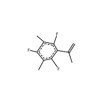 C=C(C)c1c(F)c(C)c(F)c(C)c1F